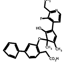 CC1=CC(c2ccnc(CN)c2F)=C(O)C1(C)Oc1cc(-c2ccccc2)ccc1CC(=O)O